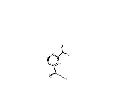 ClC(Cl)c1ccnc(C(Cl)Cl)n1